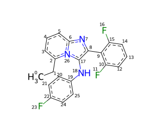 CCc1cccc2nc(-c3c(F)cccc3F)c(Nc3ccc(F)cc3)n12